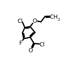 C=CCOc1cc(C(=O)Cl)c(F)cc1Cl